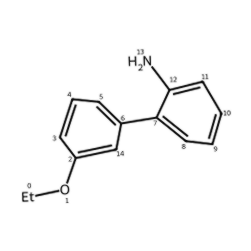 CCOc1cccc(-c2ccccc2N)c1